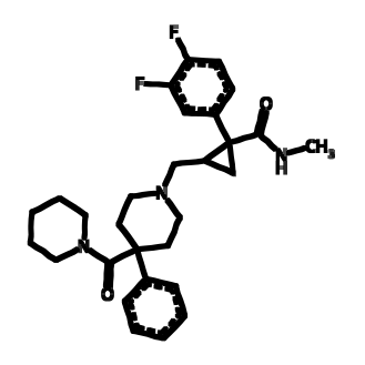 CNC(=O)C1(c2ccc(F)c(F)c2)CC1CN1CCC(C(=O)N2CCCCC2)(c2ccccc2)CC1